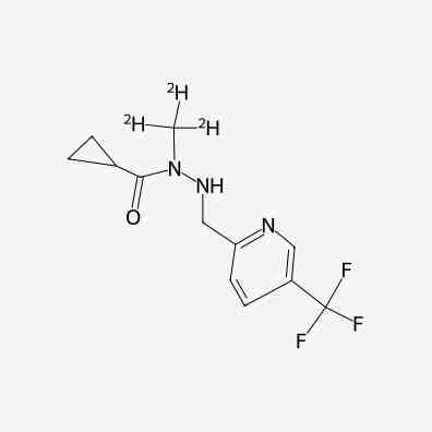 [2H]C([2H])([2H])N(NCc1ccc(C(F)(F)F)cn1)C(=O)C1CC1